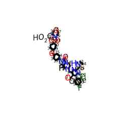 COC(=O)C1=C(CN2CCN3C(=O)N(c4ccc(Oc5ccc(S(=O)(=O)N6CCOC[C@H]6C(=O)O)cc5)cc4)C[C@@H]3C2)NC(c2nccs2)=N[C@H]1c1ccc(F)cc1Cl